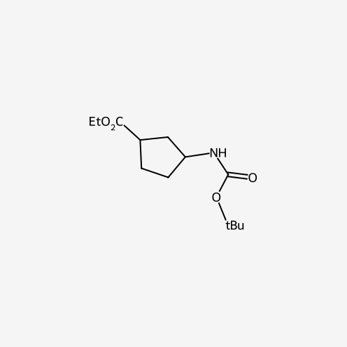 CCOC(=O)C1CCC(NC(=O)OC(C)(C)C)C1